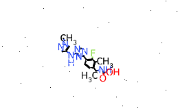 Cc1c(C(C)NC(=O)O)ccc(-c2ncnc(Nc3cnn(C)c3)n2)c1F